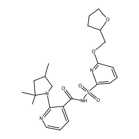 CC1CN(c2ncccc2C(=O)NS(=O)(=O)c2cccc(OCC3CCCO3)n2)C(C)(C)C1